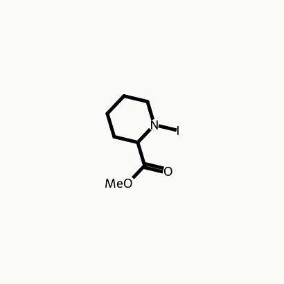 COC(=O)C1CCCCN1I